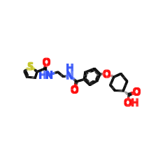 O=C(NCCNC(=O)C1CC=CS1)c1ccc(O[C@H]2CC[C@@H](C(=O)O)CC2)cc1